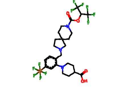 O=C(O)C1CCN(c2cc(S(F)(F)(F)(F)F)ccc2CN2CCC3(CCN(C(=O)OC(C(F)(F)F)C(F)(F)F)CC3)C2)CC1